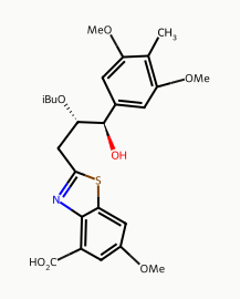 COc1cc(C(=O)O)c2nc(C[C@H](OCC(C)C)[C@H](O)c3cc(OC)c(C)c(OC)c3)sc2c1